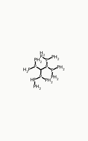 PPP(P)C(P(P)P)P(P(P)P)P(P)P